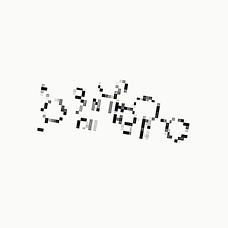 C[C@H](NC(=O)[C@H](O)c1cc(F)cc(F)c1)C(=O)N[C@H]1C=CC[C@@H](c2ccccc2)NC1=O